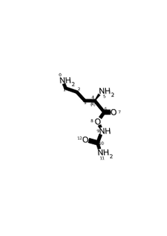 NCCC[C@@H](N)C(=O)ONC(N)=O